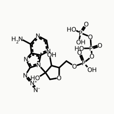 [N-]=[N+]=Nc1nc2c(N)ncnc2n1C1(O)COC(COP(=O)(O)OP(=O)(O)OP(=O)(O)O)C1O